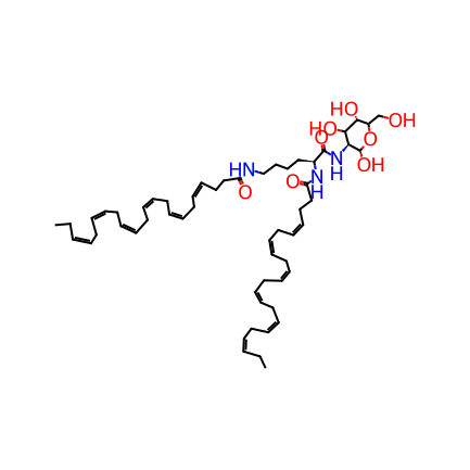 CC/C=C\C/C=C\C/C=C\C/C=C\C/C=C\C/C=C\CCC(=O)NCCCC[C@H](NC(=O)CC/C=C\C/C=C\C/C=C\C/C=C\C/C=C\C/C=C\CC)C(=O)N[C@H]1C(O)[C@H](O)C(CO)O[C@H]1O